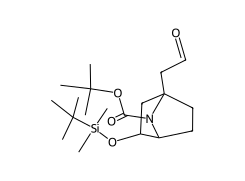 CC(C)(C)OC(=O)N1C2CCC1(CC=O)CC2O[Si](C)(C)C(C)(C)C